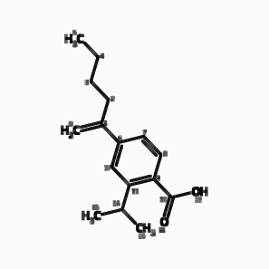 C=C(CCCC)c1ccc(C(=O)O)c(C(C)C)c1